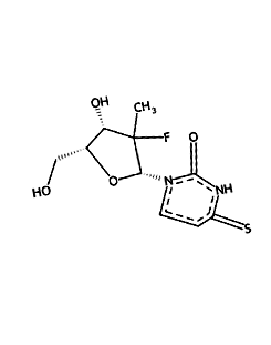 CC1(F)[C@@H](O)[C@@H](CO)O[C@H]1n1ccc(=S)[nH]c1=O